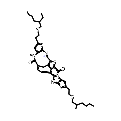 CCCCC(C)CSCCc1cc2c(nc3c4c5c6c(sc5c(=O)n32)/C=N/c2sc(CCSCC(CC)CCCC)cc2N(C)C(=O)C(=CC=4)C6)s1